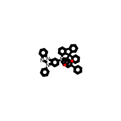 c1ccc(-c2ccc(N(c3ccc4c(c3)n3c5ccccc5nc3n4-c3ccccc3)c3cccc4c3C(c3ccccc3)(c3ccccc3)c3ccccc3-4)cc2)cc1